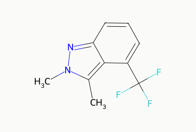 Cc1c2c(C(F)(F)F)cccc2nn1C